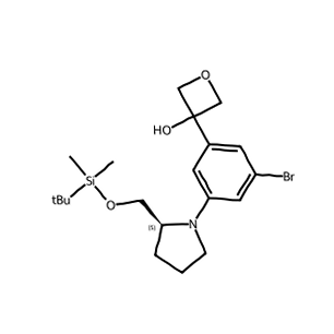 CC(C)(C)[Si](C)(C)OC[C@@H]1CCCN1c1cc(Br)cc(C2(O)COC2)c1